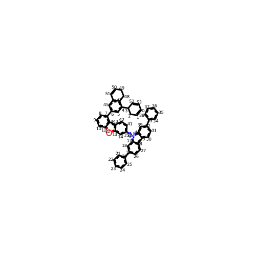 C1=CCC(c2cc(-c3cccc4oc5cc(-n6c7cc(-c8ccccc8)ccc7c7ccc(-c8ccccc8)cc76)ccc5c34)cc3c2CCC=C3)C=C1